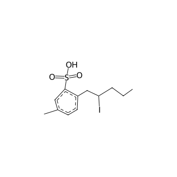 CCCC(I)Cc1ccc(C)cc1S(=O)(=O)O